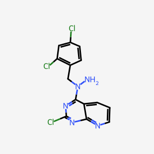 NN(Cc1ccc(Cl)cc1Cl)c1nc(Cl)nc2ncccc12